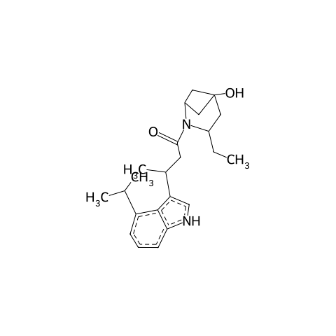 CCC1CC2(O)CC(C2)N1C(=O)CC(C)c1c[nH]c2cccc(C(C)C)c12